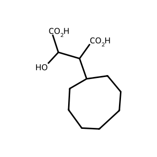 O=C(O)C(O)C(C(=O)O)C1CCCCCCC1